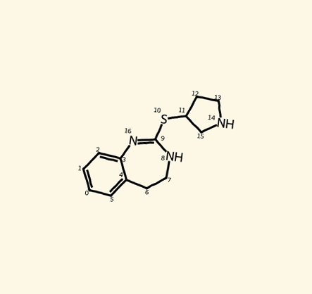 c1ccc2c(c1)CCNC(SC1CCNC1)=N2